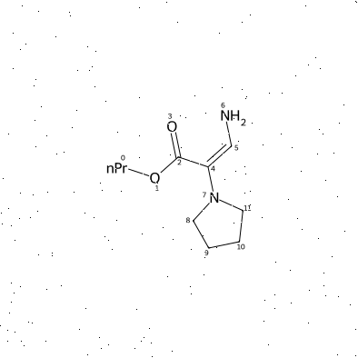 CCCOC(=O)C(=CN)N1CCCC1